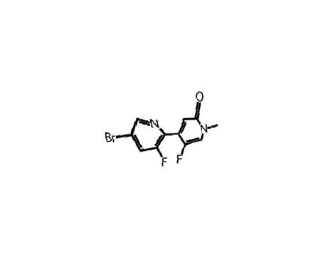 Cn1cc(F)c(-c2ncc(Br)cc2F)cc1=O